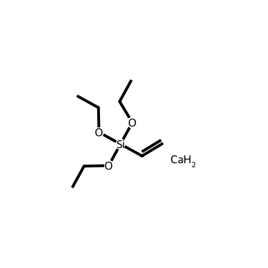 C=C[Si](OCC)(OCC)OCC.[CaH2]